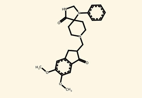 COc1cc2c(cc1OC)C(=O)C(CN1CCC3(CC1)C(=O)NCN3c1ccccc1)C2